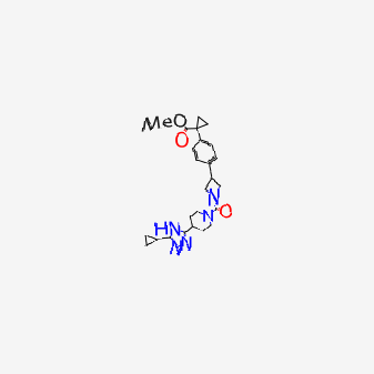 COC(=O)C1(c2ccc(C3CN(C(=O)N4CCC(c5nnc(C6CC6)[nH]5)CC4)C3)cc2)CC1